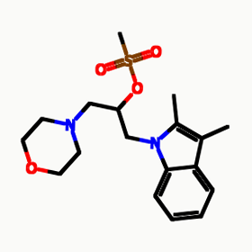 Cc1c(C)n(CC(CN2CCOCC2)OS(C)(=O)=O)c2ccccc12